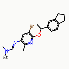 CCN(C)/C=N/c1cc(Br)c(OC(C)c2ccc3c(c2)CCC3)nc1C